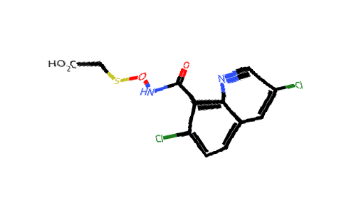 O=C(O)CSONC(=O)c1c(Cl)ccc2cc(Cl)cnc12